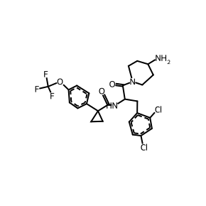 NC1CCN(C(=O)C(Cc2ccc(Cl)cc2Cl)NC(=O)C2(c3ccc(OC(F)(F)F)cc3)CC2)CC1